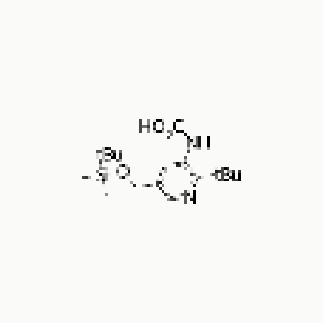 CC(C)(C)c1ncc(CO[Si](C)(C)C(C)(C)C)cc1NC(=O)O